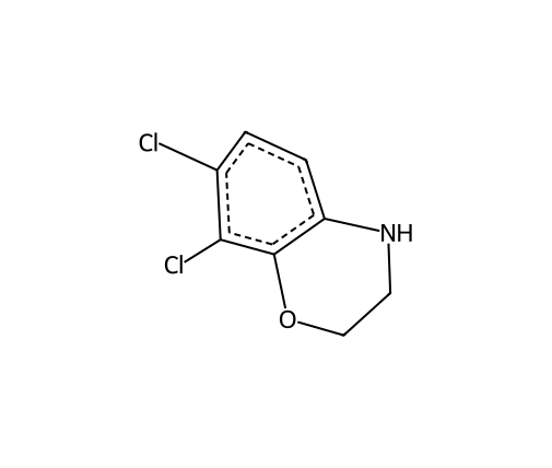 Clc1ccc2c(c1Cl)OCCN2